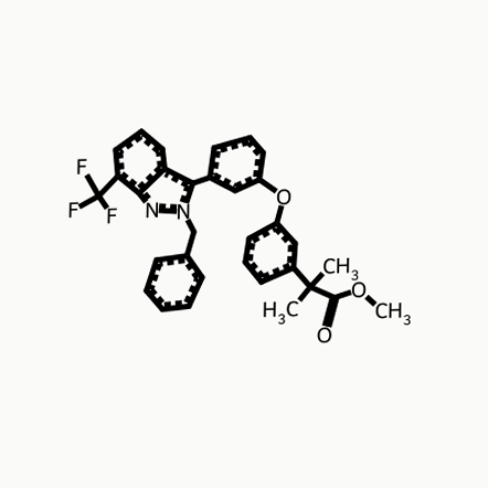 COC(=O)C(C)(C)c1cccc(Oc2cccc(-c3c4cccc(C(F)(F)F)c4nn3Cc3ccccc3)c2)c1